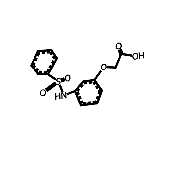 O=C(O)COc1cccc(NS(=O)(=O)c2ccccc2)c1